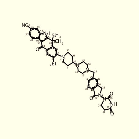 CCc1cc2c(cc1N1CCC(N3CCN(Cc4ccc5c(c4)CN(N4CCC(=O)NC4=O)C5=O)CC3)CC1)C(C)(C)c1[nH]c3cc(C#N)ccc3c1C2=O